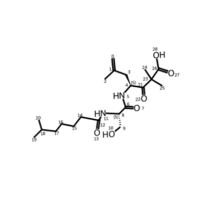 C=C(C)C[C@H](NC(=O)[C@H](CO)NC(=O)CCCCC(C)C)C(=O)C(C)(C)C(=O)O